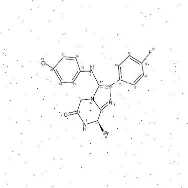 CC(C)[C@H]1NC(=O)Cn2c1nc(-c1ccc(F)cc1)c2Nc1ccc(Cl)cc1